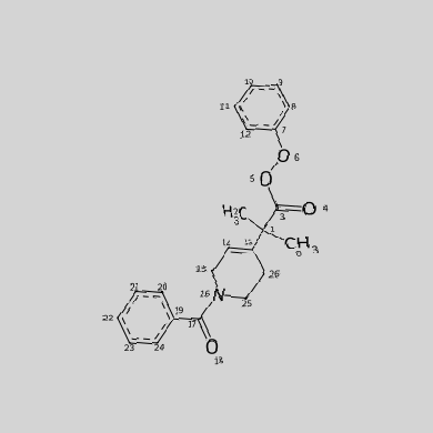 CC(C)(C(=O)OOc1ccccc1)C1=CCN(C(=O)c2ccccc2)CC1